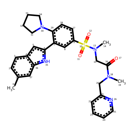 Cc1ccc2cc(-c3cc(S(=O)(=O)N(C)CC(=O)N(C)Cc4ccccn4)ccc3N3CCCC3)[nH]c2c1